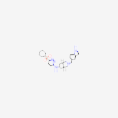 O=S(=O)(c1ccc(NC2C[C@@H]3CN(Cc4ccc5[nH]ccc5c4)C[C@@H]3C2)nn1)C1CCCCC1